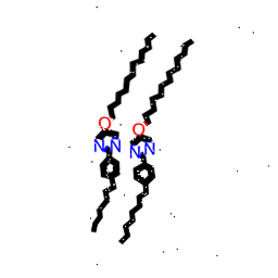 CCCCCCCCCCCCCOc1cnc(-c2ccc(CCCCCCC)cc2)nc1.CCCCCCCCCCCCCOc1cnc(-c2ccc(CCCCCCCC)cc2)nc1